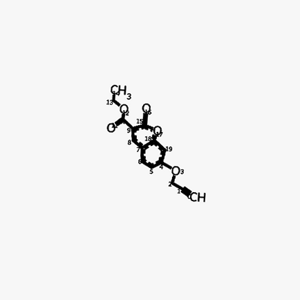 C#CCOc1ccc2cc(C(=O)OCC)c(=O)oc2c1